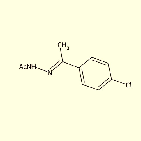 CC(=O)NN=C(C)c1ccc(Cl)cc1